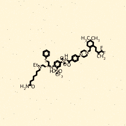 C=C(CCC1=C(CN2CCN(c3ccc(C(=O)NS(=O)(=O)c4ccc(N[C@H](CCN(CC)CCCCCCC(N)=O)CSc5ccccc5)c(S(=O)(=O)C(F)(F)F)c4)cc3)CC2)CCC(C)(C)C1)C(F)F